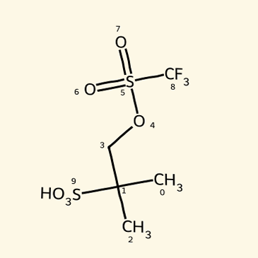 CC(C)(COS(=O)(=O)C(F)(F)F)S(=O)(=O)O